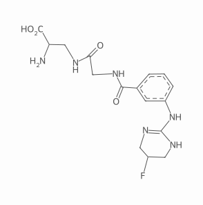 NC(CNC(=O)CNC(=O)c1cccc(NC2=NCC(F)CN2)c1)C(=O)O